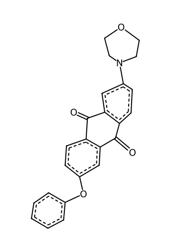 O=C1c2ccc(N3CCOCC3)cc2C(=O)c2ccc(Oc3ccccc3)cc21